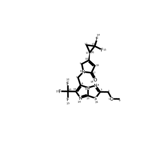 COCc1nn2c(CN3CC([C@H]4CC4(F)F)=CC3=O)c(C(F)(F)F)nc2s1